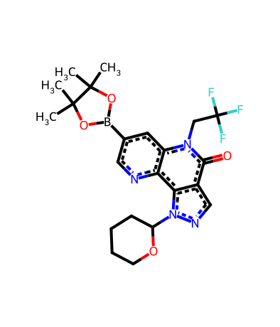 CC1(C)OB(c2cnc3c4c(cnn4C4CCCCO4)c(=O)n(CC(F)(F)F)c3c2)OC1(C)C